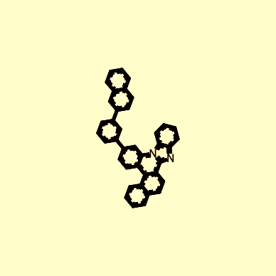 c1cc(-c2ccc3ccccc3c2)cc(-c2ccc3c4c5ccccc5ccc4c4nc5ccccc5n4c3c2)c1